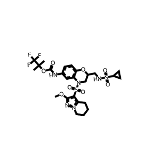 COc1nn2c(c1S(=O)(=O)N1CC(CNS(=O)(=O)C3CC3)Oc3ccc(NC(=O)OC(C)(C)C(F)(F)F)cc31)CCCC2